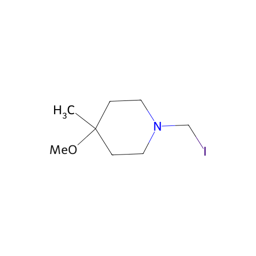 COC1(C)CCN(CI)CC1